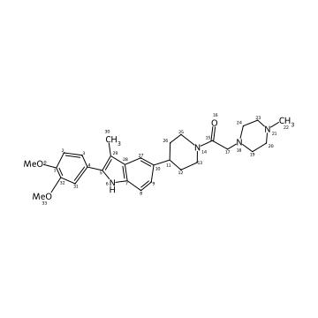 COc1ccc(-c2[nH]c3ccc(C4CCN(C(=O)CN5CCN(C)CC5)CC4)cc3c2C)cc1OC